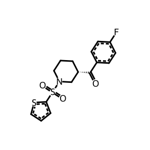 O=C(c1ccc(F)cc1)[C@H]1CCCN(S(=O)(=O)c2cccs2)C1